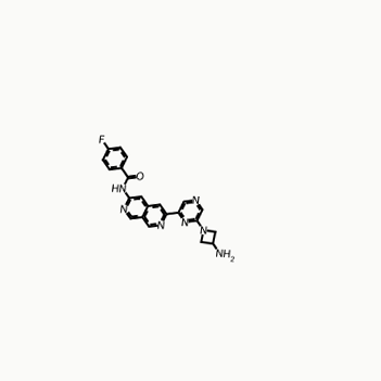 NC1CN(c2cncc(-c3cc4cc(NC(=O)c5ccc(F)cc5)ncc4cn3)n2)C1